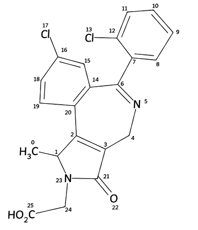 CC1C2=C(CN=C(c3ccccc3Cl)c3cc(Cl)ccc32)C(=O)N1CC(=O)O